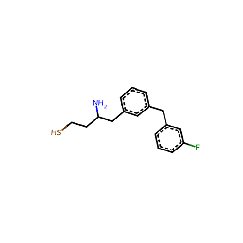 NC(CCS)Cc1cccc(Cc2cccc(F)c2)c1